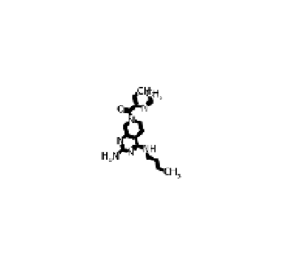 C/C=N\C(=C/C)C(=O)N1CCc2c(nc(N)nc2NCCCC)C1